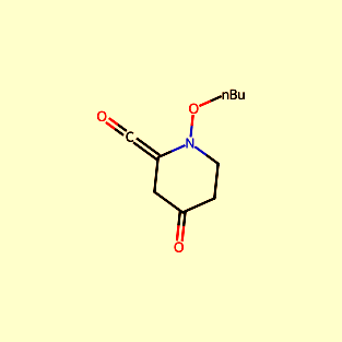 CCCCON1CCC(=O)CC1=C=O